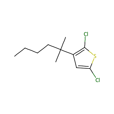 CCCCC(C)(C)c1cc(Cl)sc1Cl